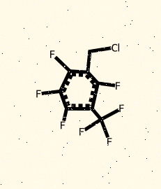 Fc1c(F)c(CCl)c(F)c(C(F)(F)F)c1F